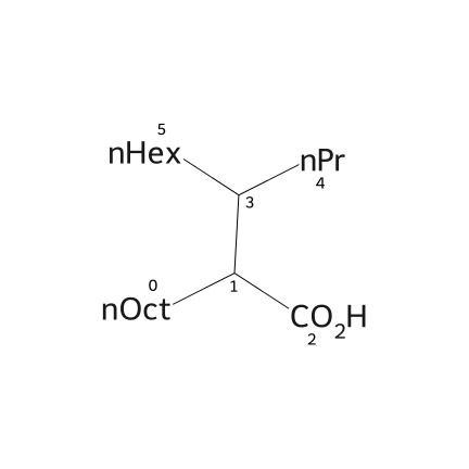 CCCCCCCCC(C(=O)O)C(CCC)CCCCCC